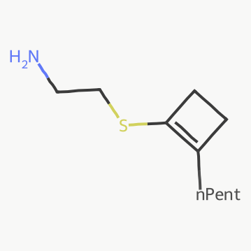 CCCCCC1=C(SCCN)CC1